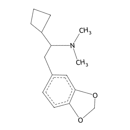 CN(C)C(Cc1ccc2c(c1)OCO2)C1CCC1